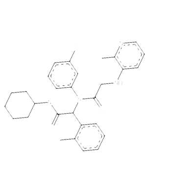 Cc1ccccc1C(C(=O)NC1CCCCC1)N(C(=O)CNc1cccnc1F)c1cccc(F)c1